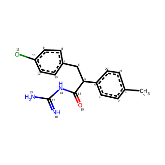 Cc1ccc(C(Cc2ccc(Cl)cc2)C(=O)NC(=N)N)cc1